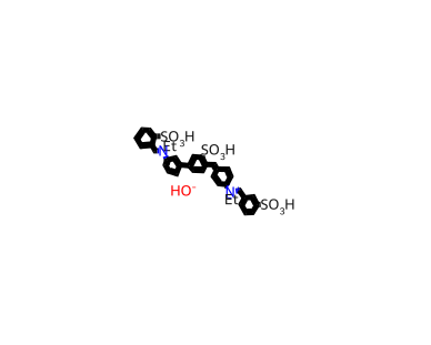 CCN(Cc1ccccc1S(=O)(=O)O)c1cccc(-c2ccc(C=C3C=CC(=[N+](CC)Cc4cccc(S(=O)(=O)O)c4)C=C3)c(S(=O)(=O)O)c2)c1.[OH-]